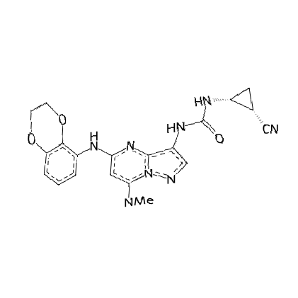 CNc1cc(Nc2cccc3c2OCCO3)nc2c(NC(=O)N[C@@H]3C[C@@H]3C#N)cnn12